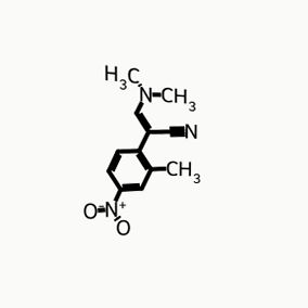 Cc1cc([N+](=O)[O-])ccc1C(C#N)=CN(C)C